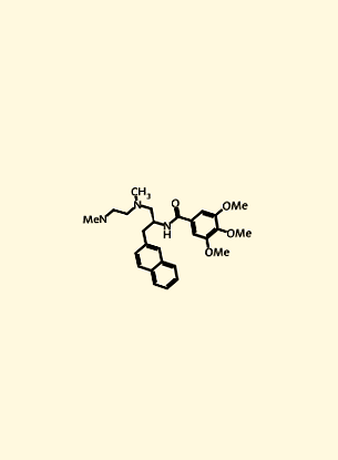 CNCCN(C)C[C@H](Cc1ccc2ccccc2c1)NC(=O)c1cc(OC)c(OC)c(OC)c1